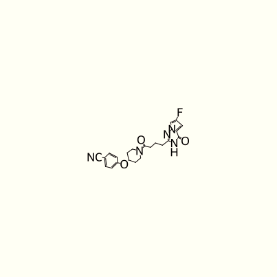 N#Cc1ccc(OC2CCN(C(=O)CCCc3nn4cc(F)cc4c(=O)[nH]3)CC2)cc1